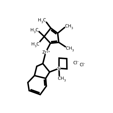 CC1=C(C)C(C)(C)[C]([Zr+2][CH]2CC3CC=CC=C3C2[Si]2(C)CCC2)=C1C.[Cl-].[Cl-]